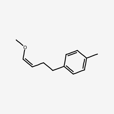 CO/C=C\CCc1ccc(C)cc1